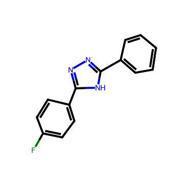 Fc1ccc(-c2nnc(-c3ccccc3)[nH]2)cc1